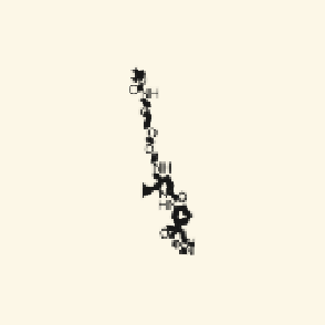 Cn1cnnc1CC1(c2cccc(NC(=O)c3ccc(CNCCOCCOCCOCCNC(=O)OC(C)(C)C)c(C4CC4)n3)c2)COC1